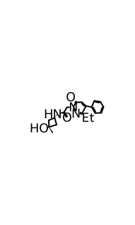 CCc1nn(CC(=O)N[C@H]2C[C@@](C)(O)C2)c(=O)cc1-c1ccccc1